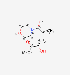 C=C(O)C(=O)OC.C=CC(=O)N1CCOCC1